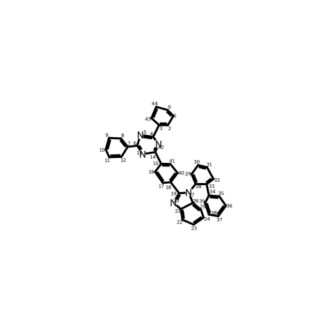 c1ccc(-c2nc(-c3ccccc3)nc(-c3ccc(-c4nc5ccccc5n4-c4ccccc4-c4ccccc4)cc3)n2)cc1